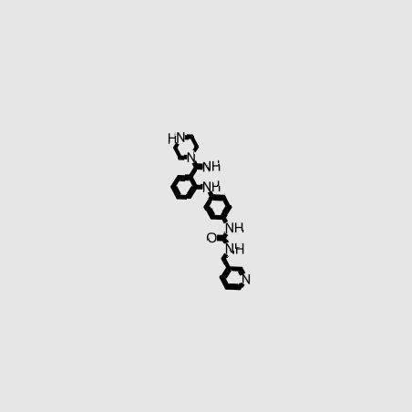 N=C(c1ccccc1Nc1ccc(NC(=O)NCc2cccnc2)cc1)N1CCNCC1